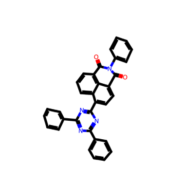 O=C1c2cccc3c(-c4nc(-c5ccccc5)nc(-c5ccccc5)n4)ccc(c23)C(=O)N1c1ccccc1